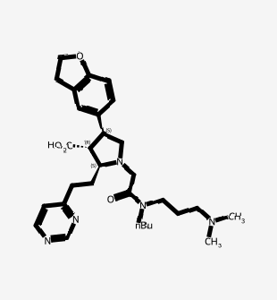 CCCCN(CCCN(C)C)C(=O)CN1C[C@H](c2ccc3c(c2)CCO3)[C@@H](C(=O)O)[C@@H]1CCc1ccncn1